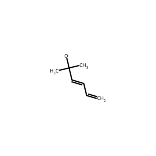 C=CC=CC(C)(C)[O]